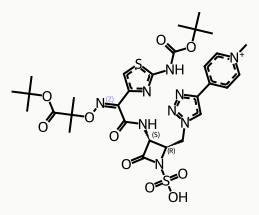 C[n+]1ccc(-c2cn(C[C@@H]3[C@H](NC(=O)/C(=N\OC(C)(C)C(=O)OC(C)(C)C)c4csc(NC(=O)OC(C)(C)C)n4)C(=O)N3S(=O)(=O)O)nn2)cc1